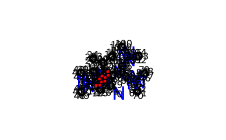 N#Cc1ccc(-n2c3ccc(-c4cc(-c5ccccc5)cc(-c5ccccc5)c4)cc3c3cc(-c4nc(-c5ccccc5)nc(-c5ccccc5)n4)ccc32)c(-c2cc(-n3c4ccc(-c5nc(-c6ccccc6)nc(-c6ccccc6)n5)cc4c4cc(-c5nc(-c6ccccc6)nc(-c6ccccc6)n5)ccc43)ccc2-c2nc(-c3ccccc3)nc(-c3ccccc3)n2)c1